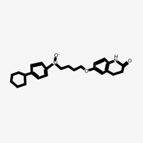 O=C1CCc2cc(OCCCC[S+]([O-])c3ccc(C4CCCCC4)cc3)ccc2N1